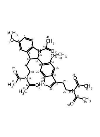 COc1ccc2c(c1)C(CCN(C(C)=O)C(C)=O)C(c1cc3[nH]cc(CCN(C(C)=O)C(C)=O)c3cc1OC)N2C(C)=O